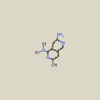 CCN(CC)c1nc(C#N)cc2cnc(N)cc12